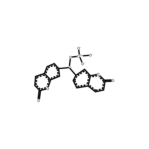 O=c1ccc2ccc([I+](O[Cl+3]([O-])([O-])[O-])c3ccc4ccc(=O)oc4c3)cc2o1